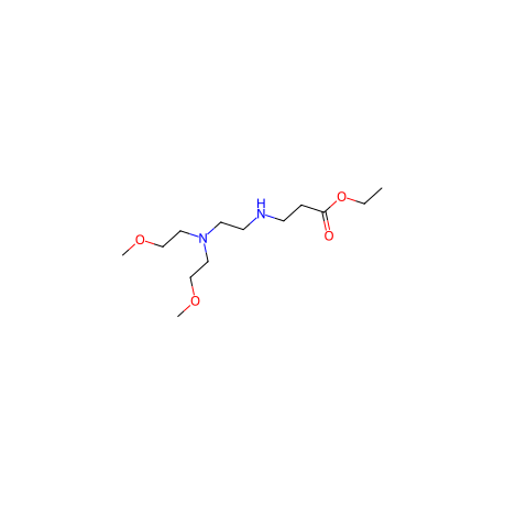 CCOC(=O)CCNCCN(CCOC)CCOC